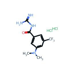 CN(C)c1cc(C(=O)NC(=N)N)cc(C(F)(F)F)c1.Cl.Cl